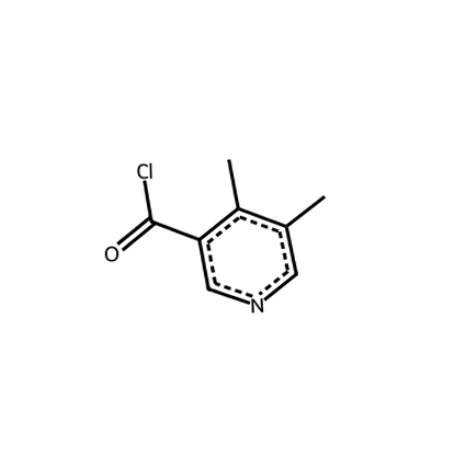 Cc1cncc(C(=O)Cl)c1C